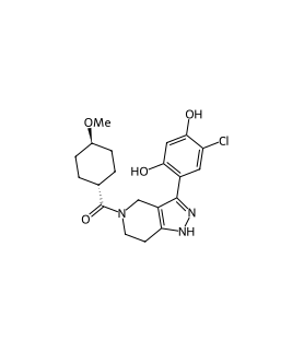 CO[C@H]1CC[C@H](C(=O)N2CCc3[nH]nc(-c4cc(Cl)c(O)cc4O)c3C2)CC1